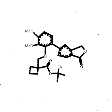 COc1ccc(-c2ccc3c(c2)COC3=O)c(OCC2(C(=O)OC(C)(C)C#N)CCC2)c1OC